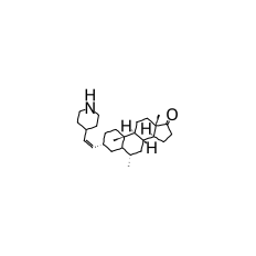 C[C@H]1C[C@@H]2[C@H](CC[C@]3(C)C(=O)CC[C@@H]23)[C@@]2(C)CC[C@@H](/C=C\C3CCNCC3)CC12